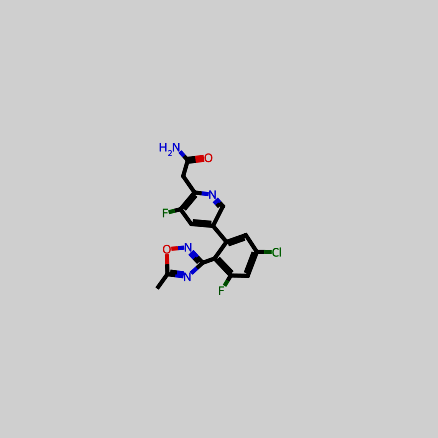 Cc1nc(-c2c(F)cc(Cl)cc2-c2cnc(CC(N)=O)c(F)c2)no1